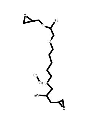 CCCC(CC1CO1)C[SiH](CCCCCOCC(CC)OCC1CO1)OCC